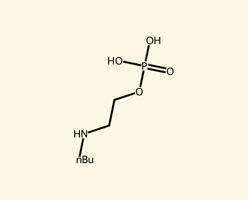 CCCCNCCOP(=O)(O)O